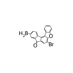 Bc1ccc2c(c1)C(=O)c1cc(Br)c3oc4ccccc4c3c1-2